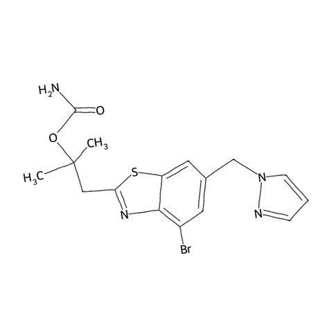 CC(C)(Cc1nc2c(Br)cc(Cn3cccn3)cc2s1)OC(N)=O